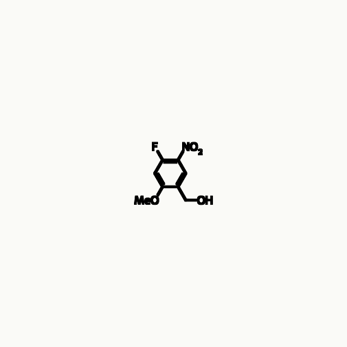 COc1cc(F)c([N+](=O)[O-])cc1CO